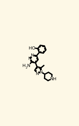 Cc1c(-c2cc(-c3ccccc3O)nnc2N)cnn1C1CCNCC1